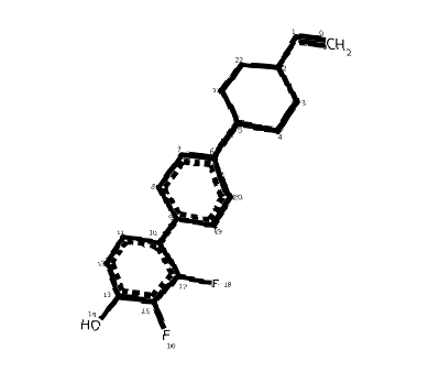 C=CC1CCC(c2ccc(-c3ccc(O)c(F)c3F)cc2)CC1